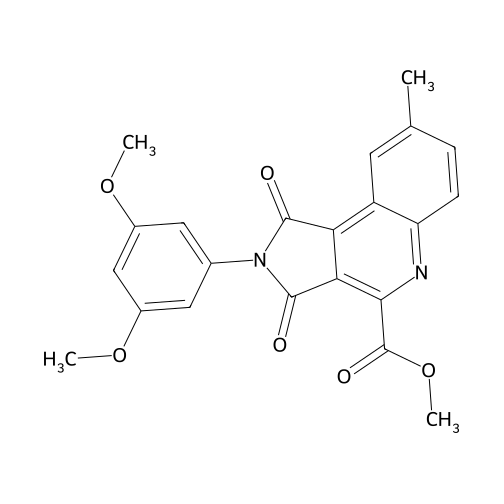 COC(=O)c1nc2ccc(C)cc2c2c1C(=O)N(c1cc(OC)cc(OC)c1)C2=O